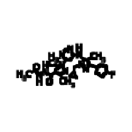 CC(=O)NNC(=O)c1c(C)nn(-c2cc(Nc3c(C)c(-c4ccc(F)cc4)nn3CC3CC3)ncn2)c1C